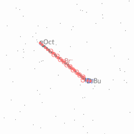 CCCCCCCC/C=C\CCCCCCCCOCCOCCOCCOCCOCCOCCOCCOCCOCCOCCOC(=O)CCN1CC[N+](C)(CCCC)CC1.[Br-]